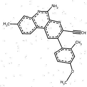 C#Cc1nc2c(N)nc3cc(C)ccc3c2cc1-c1ccc(OC)cc1C